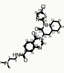 CN(C)CCNC(=O)c1ccc2c(=O)n(C(CC3CCCCC3)C(=O)Nc3ncc(Cl)s3)cnc2c1